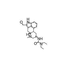 CCN(CC)C(=O)N[C@H]1CC2c3cccc4[nH]c(C=O)c(c34)C[C@H]2N(C)C1